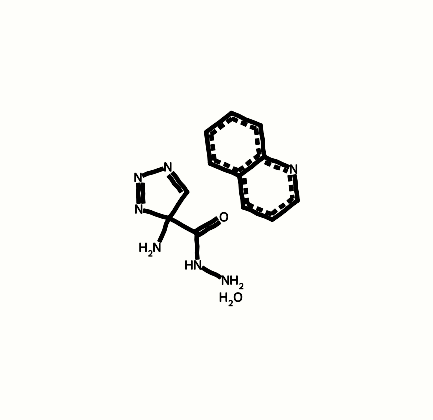 NNC(=O)C1(N)C=NN=N1.O.c1ccc2ncccc2c1